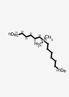 CCCCCCCCCCCCCCCC[N+](C)(C)CCCCCCCCCCCCCCC